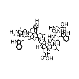 CC(C)C[C@H](NC(=O)[C@H](Cc1c[nH]cn1)NC(=O)[C@H](Cc1c[nH]c2ccccc12)NC(=O)[C@H](C)N)C(=O)NCC(=O)N[C@@H](CCC(=O)O)C(=O)N[C@@H](CC(C)C)C(=O)N[C@H](C(=O)N[C@@H](Cc1c[nH]c2ccccc12)C(=O)N[C@@H](CS)C(=O)O)C(C)C